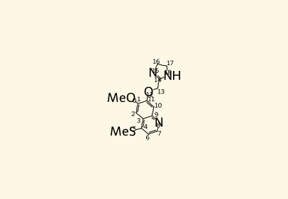 COc1cc2c(SC)ccnc2cc1OCC1=NCCN1